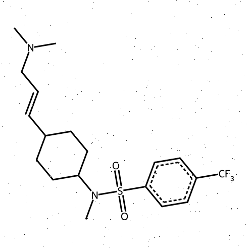 CN(C)CC=CC1CCC(N(C)S(=O)(=O)c2ccc(C(F)(F)F)cc2)CC1